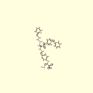 CCOC(Cc1ccc(OCCN(CCCCSc2ccccc2)C(=O)Oc2ccc(Oc3ccccc3)cc2)cc1)C(=O)O